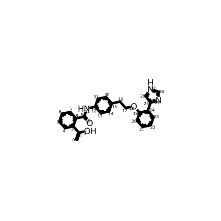 C=C(O)c1ccccc1C(=O)Nc1ccc(CCOc2ccccc2-c2c[nH]cn2)cc1